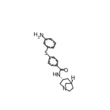 Nc1cccc(Sc2ccc(C(=O)N[C@@H]3C[C@@H]4CCN(C4)C3)cc2)c1